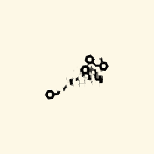 C[C@@H](N1CN([C@H]2c3ccccc3CSc3ccccc32)n2ccc(=O)c(OCOC(=O)OCCOCc3ccccc3)c2C1=O)C(F)(F)F